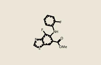 COC(=O)c1cc2scnc2c(F)c1Nc1ccccc1F